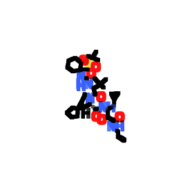 C=CCNC(=O)C(=O)C(CC1CC1)NC(=O)[C@@H]1[C@@H]2C(CN1C(=O)[C@@H](NC(=O)NC1(CS(=O)(=O)C(C)(C)C)CCCCC1)C(C)(C)C)C21CCCC1